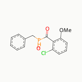 COc1cccc(Cl)c1C(=O)[PH](=O)Cc1ccccc1